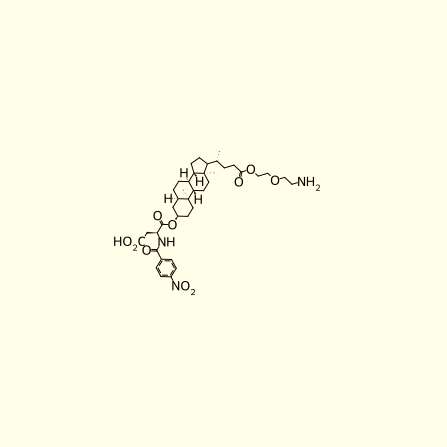 C[C@H](CCC(=O)OCCOCCN)C1CC[C@H]2[C@@H]3CC[C@@H]4C[C@H](OC(=O)[C@H](CC(=O)O)NC(=O)c5ccc([N+](=O)[O-])cc5)CC[C@]4(C)[C@H]3CC[C@]12C